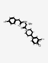 CC(C)[C@@H](NC(=O)Cc1ccc(F)cc1)C(=O)N1CCC(c2ccc(Cl)c(F)c2)CC1